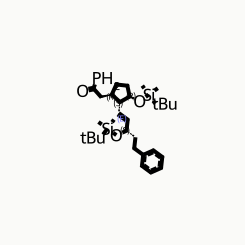 CC(C)(C)[Si](C)(C)O[C@H](/C=C/[C@@H]1[C@@H](CC(=O)P)CC[C@H]1O[Si](C)(C)C(C)(C)C)CCc1ccccc1